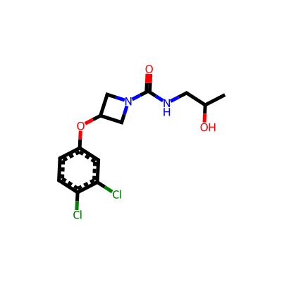 CC(O)CNC(=O)N1CC(Oc2ccc(Cl)c(Cl)c2)C1